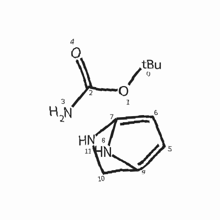 CC(C)(C)OC(N)=O.c1cc2[nH]c1CN2